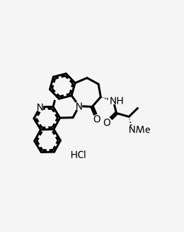 CN[C@@H](C)C(=O)N[C@H]1CCc2ccccc2N(Cc2c(C)ncc3ccccc23)C1=O.Cl